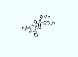 COC[C@H](NC(=O)c1cc(Cl)cc(C(F)(F)F)c1)C(=O)O